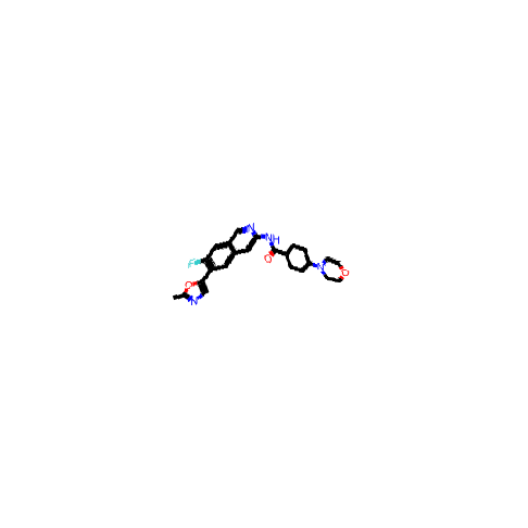 Cc1ncc(-c2cc3cc(NC(=O)C4CCC(N5CCOCC5)CC4)ncc3cc2F)o1